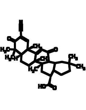 CC1(C)CCC2C(C1)C1C(=O)C=C3[C@@]4(C)C=C(C#N)C(=O)C(C)(C)[C@@H]4CC[C@@]3(C)[C@]1(C)C[C@@H]2C(=O)O